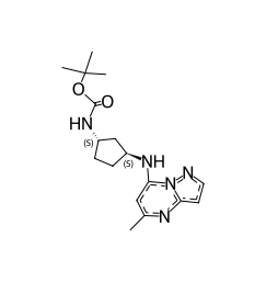 Cc1cc(N[C@H]2CC[C@H](NC(=O)OC(C)(C)C)C2)n2nccc2n1